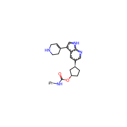 CC(C)NC(=O)O[C@@H]1CC[C@H](c2cnc3[nH]cc(C4=CCNCC4)c3c2)C1